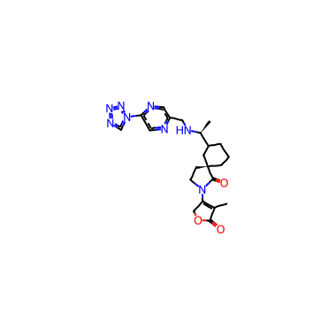 CC1=C(N2CC[C@@]3(CCCC([C@H](C)NCc4cnc(-n5cnnn5)cn4)C3)C2=O)COC1=O